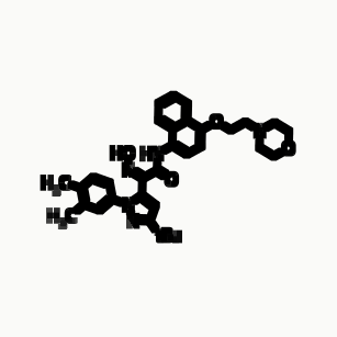 Cc1ccc(-n2nc(C(C)(C)C)cc2C(=NO)C(=O)Nc2ccc(OCCN3CCOCC3)c3ccccc23)cc1C